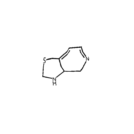 C1=NCC2NCSC2=C1